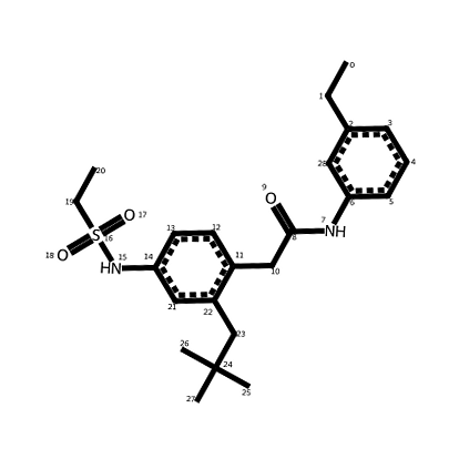 CCc1cccc(NC(=O)Cc2ccc(NS(=O)(=O)CC)cc2CC(C)(C)C)c1